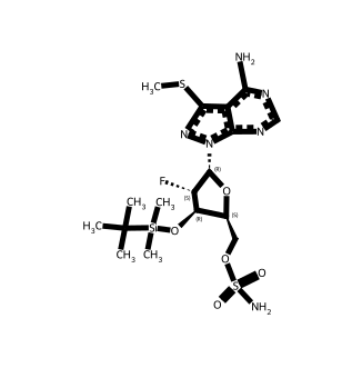 CSc1nn([C@@H]2O[C@@H](COS(N)(=O)=O)[C@@H](O[Si](C)(C)C(C)(C)C)[C@@H]2F)c2ncnc(N)c12